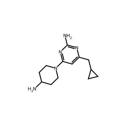 Nc1nc(CC2CC2)cc(N2CCC(N)CC2)n1